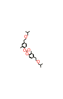 Cc1cc(CCOCC(C)C)ccc1OC(=O)Oc1ccc(CCOCC(C)C)cc1C